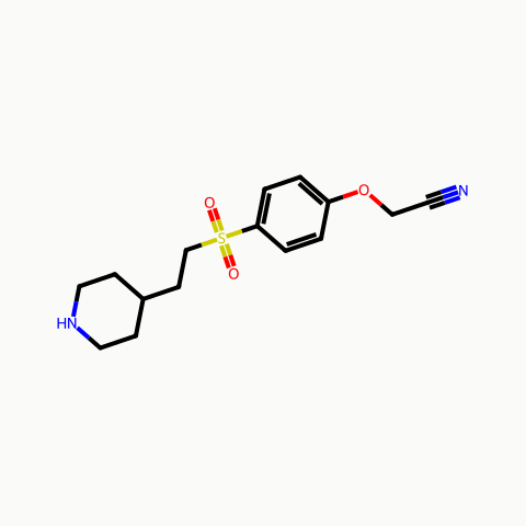 N#CCOc1ccc(S(=O)(=O)CCC2CCNCC2)cc1